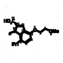 COCCOc1ccc(C(C)C)c2c1cc(C(=O)O)n2C